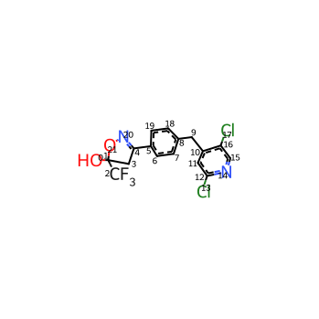 OC1(C(F)(F)F)CC(c2ccc(Cc3cc(Cl)ncc3Cl)cc2)=NO1